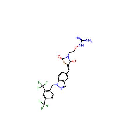 N=C(N)NOCCN1C(=O)S/C(=C\c2ccc3c(cnn3Cc3ccc(C(F)(F)F)cc3C(F)(F)F)c2)C1=O